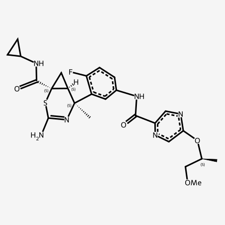 COC[C@H](C)Oc1cnc(C(=O)Nc2ccc(F)c([C@@]3(C)N=C(N)S[C@@]4(C(=O)NC5CC5)C[C@H]43)c2)cn1